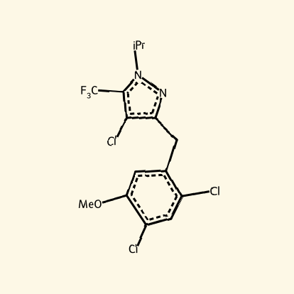 COc1cc(Cc2nn(C(C)C)c(C(F)(F)F)c2Cl)c(Cl)cc1Cl